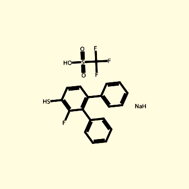 Fc1c(S)ccc(-c2ccccc2)c1-c1ccccc1.O=S(=O)(O)C(F)(F)F.[NaH]